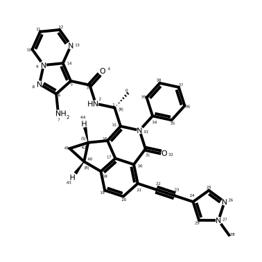 C[C@@H](NC(=O)c1c(N)nn2cccnc12)c1c2c3c(ccc(C#Cc4cnn(C)c4)c3c(=O)n1-c1ccccc1)[C@@H]1C[C@H]21